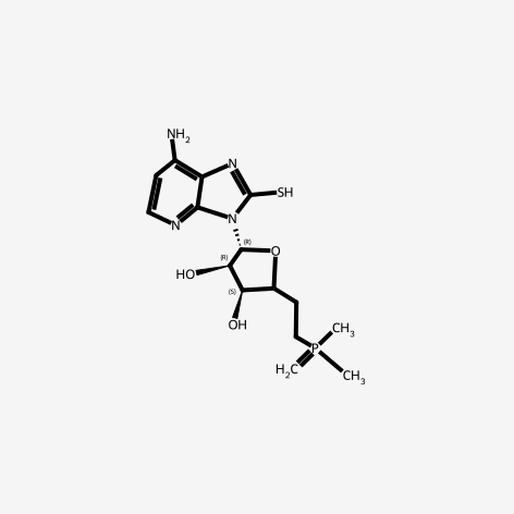 C=P(C)(C)CCC1O[C@@H](n2c(S)nc3c(N)ccnc32)[C@H](O)[C@@H]1O